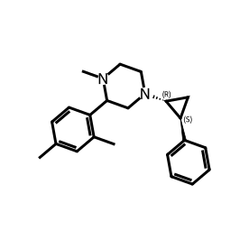 Cc1ccc(C2CN([C@@H]3C[C@H]3c3ccccc3)CCN2C)c(C)c1